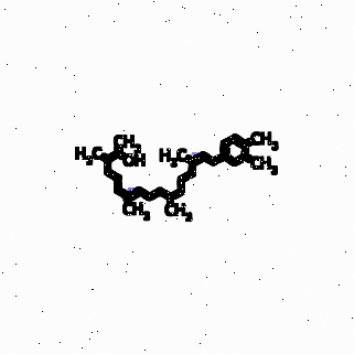 C=C(O)C(C)CCC/C(C)=C/CCC(C)CCC/C(C)=C\CC1=CC=C(C)C(C)C1